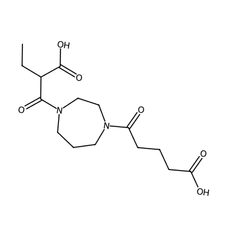 CCC(C(=O)O)C(=O)N1CCCN(C(=O)CCCC(=O)O)CC1